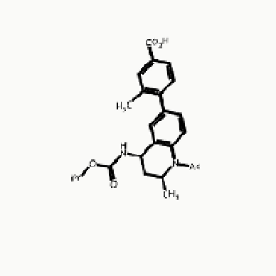 CC(=O)N1c2ccc(-c3ccc(C(=O)O)cc3C)cc2[C@H](NC(=O)OC(C)C)C[C@@H]1C